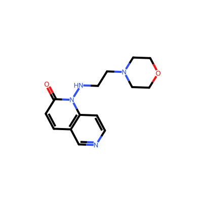 O=c1ccc2cnccc2n1NCCN1CCOCC1